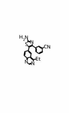 CCc1ncnc2ccc(-c3sc(N)nc3-c3cccc(C#N)c3)cc12